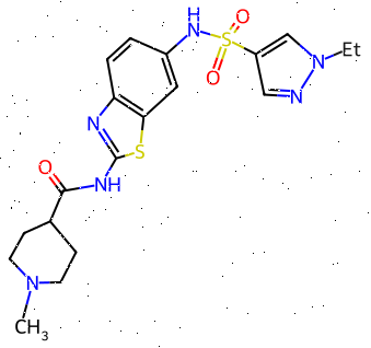 CCn1cc(S(=O)(=O)Nc2ccc3nc(NC(=O)C4CCN(C)CC4)sc3c2)cn1